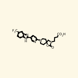 O=C(O)CCCN1CC2(CCN(c3ccc(-c4nc5cc(C(F)(F)F)ccc5[nH]4)cn3)CC2)OC1=O